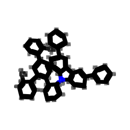 N#Cc1ccccc1-c1ccc(-c2ccccc2-n2c3ccc(-c4ccccc4)cc3c3cc(-c4ccccc4)ccc32)c(-c2ccccc2C#N)c1